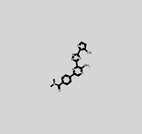 CN(C)C(=O)c1ccc(-c2cnc(N)c(-c3nnc(-c4sccc4C#N)o3)n2)cc1